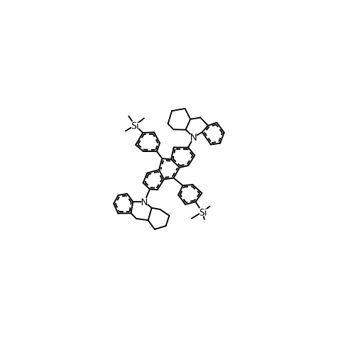 C[Si](C)(C)c1ccc(-c2c3ccc(N4c5ccccc5CC5CCCCC54)cc3c(-c3ccc([Si](C)(C)C)cc3)c3ccc(N4c5ccccc5CC5CCCCC54)cc23)cc1